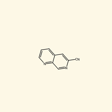 N#Cc1cc2cccnc2cn1